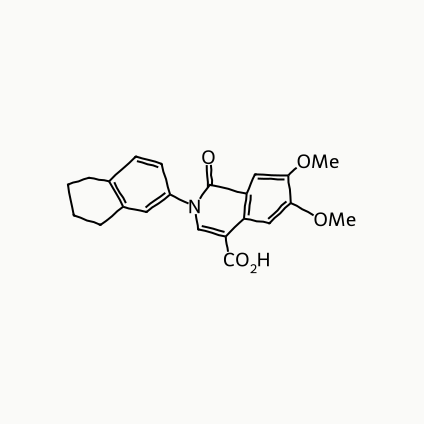 COc1cc2c(C(=O)O)cn(-c3ccc4c(c3)CCCC4)c(=O)c2cc1OC